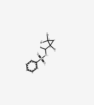 CC(OS(=O)(=O)c1ccccc1)C1(Br)CC1(Br)Br